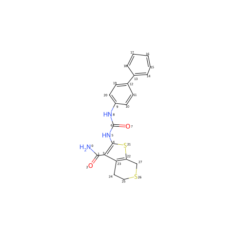 NC(=O)c1c(NC(=O)Nc2ccc(-c3ccccc3)cc2)sc2c1CCSC2